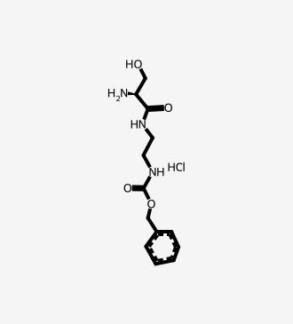 Cl.N[C@@H](CO)C(=O)NCCNC(=O)OCc1ccccc1